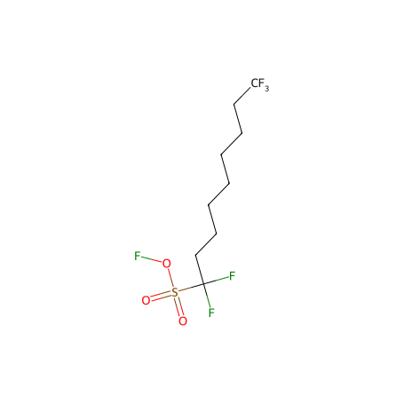 O=S(=O)(OF)C(F)(F)CCCCCCCC(F)(F)F